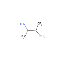 NC(C(N)C(F)(F)F)C(F)(F)F